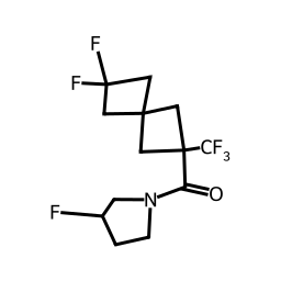 O=C(N1CCC(F)C1)C1(C(F)(F)F)CC2(CC(F)(F)C2)C1